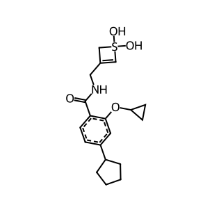 O=C(NCC1=CS(O)(O)C1)c1ccc(C2CCCC2)cc1OC1CC1